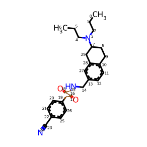 CCCN(CCC)C1CCc2ccc(CNS(=O)(=O)c3ccc(C#N)cc3)cc2C1